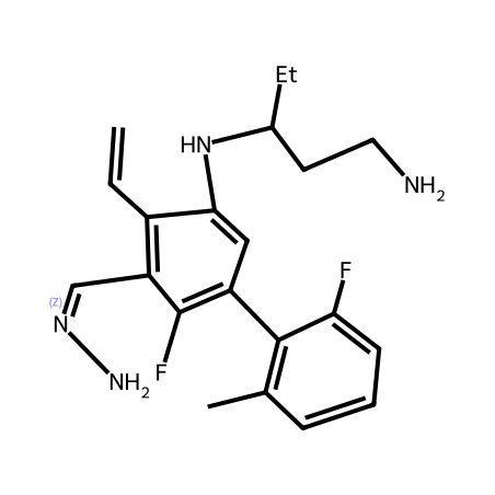 C=Cc1c(NC(CC)CCN)cc(-c2c(C)cccc2F)c(F)c1/C=N\N